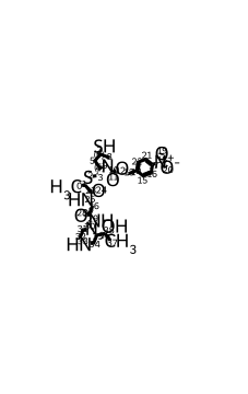 CC(SC[C@@H]1C[C@H](S)CN1C(=O)OCc1ccc([N+](=O)[O-])cc1)C(=O)NCC(=O)NN1CCNCC1C(C)O